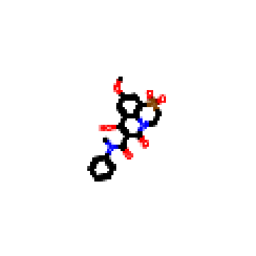 COc1cc2c3c(c1)c(O)c(C(=O)N(C)c1ccccc1)c(=O)n3CCS2(=O)=O